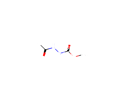 CC(C)(C)OC(=O)[N]NC(=O)C(C)(C)C